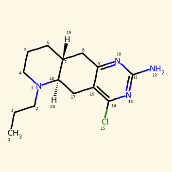 CCCN1CCC[C@@H]2Cc3nc(N)nc(Cl)c3C[C@H]21